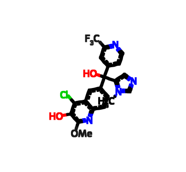 COc1nc2ccc(C(O)(c3ccnc(C(F)(F)F)c3)c3cncn3C)cc2c(Cl)c1O